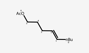 CCCCC=CCCCOC(C)=O